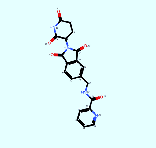 O=C1CCC(N2C(=O)c3ccc(CNC(=O)c4ccccn4)cc3C2=O)C(=O)N1